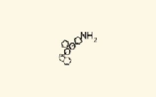 Nc1ccc(Oc2ccccc2OC2=CC3CC4C=CC=CC24C3)cc1